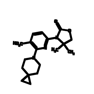 CC1(C)COC(=O)N1c1ccc(C(=O)O)c(N2CCC3(CC2)CC3)n1